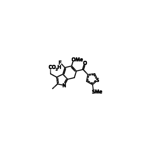 COC1=C(C(=O)c2csc(SC)c2)CC2=NC(C)=C(CC(=O)O)C2=C1F